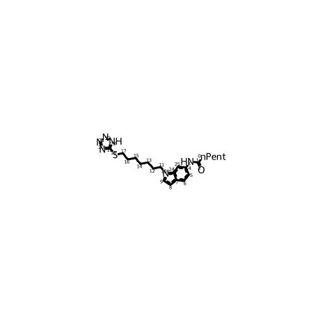 CCCCCC(=O)Nc1ccc2ccn(CCCCCCCSc3nnn[nH]3)c2c1